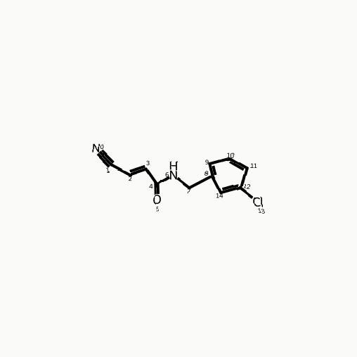 N#C/C=C/C(=O)NCc1cccc(Cl)c1